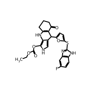 CCOC(=O)Oc1[nH]cc2c1NC1=C(C(=O)CCC1)C2c1ccc(Sc2nc3cc(F)ccc3[nH]2)o1